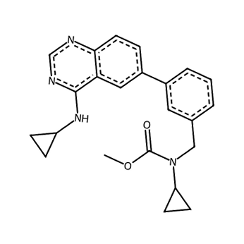 COC(=O)N(Cc1cccc(-c2ccc3ncnc(NC4CC4)c3c2)c1)C1CC1